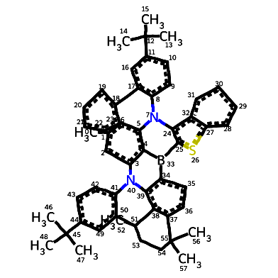 Cc1cc2c3c(c1)N(c1ccc(C(C)(C)C)cc1-c1ccccc1)c1c(sc4ccccc14)B3c1ccc3c4c1N2c1ccc(C(C)(C)C)cc1C4(C)CCC3(C)C